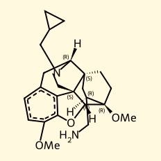 COc1ccc2c3c1O[C@H]1[C@@]4(OC)CC[C@@]5(C[C@@H]4CN)[C@@H](C2)N(CC2CC2)CC[C@]315